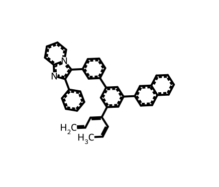 C=C/C=C(\C=C/C)c1cc(-c2cccc(-c3c(-c4ccccc4)nc4ccccn34)c2)cc(-c2ccc3ccccc3c2)c1